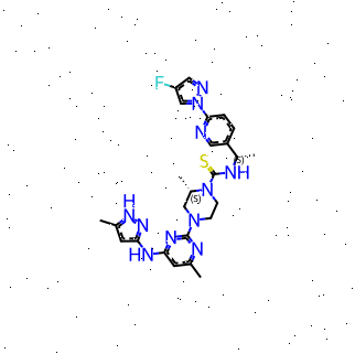 Cc1cc(Nc2cc(C)[nH]n2)nc(N2CCN(C(=S)N[C@@H](C)c3ccc(-n4cc(F)cn4)nc3)[C@@H](C)C2)n1